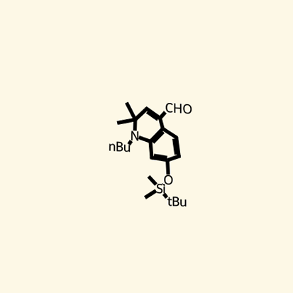 CCCCN1c2cc(O[Si](C)(C)C(C)(C)C)ccc2C(C=O)=CC1(C)C